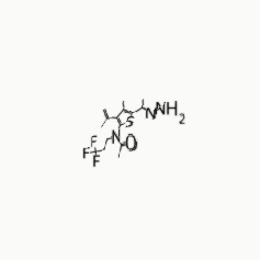 C=C(C)c1c(N(CCC(F)(F)F)C(C)=O)sc(/C(C)=N/N)c1C